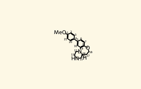 COc1ccc(-c2ccc3c(c2)N2CCNC[C@@H]2CCO3)cc1